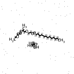 C=COOOOC(C)COCCOOCCCCCCCCCCCCC.O=P(O)(O)O